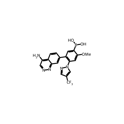 COc1cc(-n2cc(C(F)(F)F)cn2)c(-c2ccc3c(N)cnnc3c2)cc1B(O)O